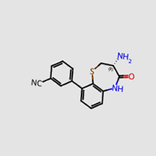 N#Cc1cccc(-c2cccc3c2SC[C@H](N)C(=O)N3)c1